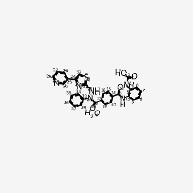 O.O=C(O)Nc1ccccc1NC(=O)c1ccc(C(=O)N(Nc2nc(-c3cccnc3)cs2)c2ccccc2)cc1